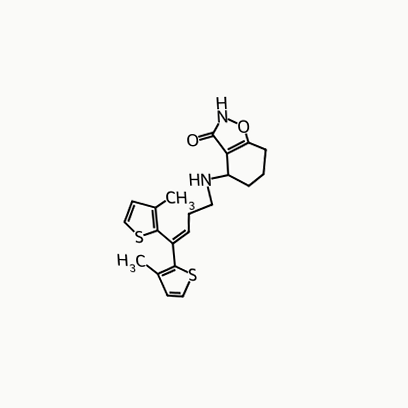 Cc1ccsc1C(=CCCNC1CCCc2o[nH]c(=O)c21)c1sccc1C